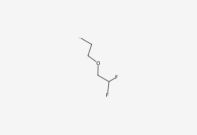 [CH2]CCOCC(F)F